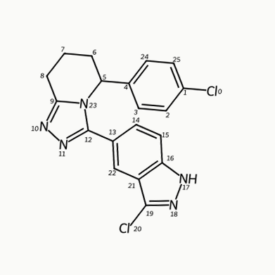 Clc1ccc(C2CCCc3nnc(-c4ccc5[nH]nc(Cl)c5c4)n32)cc1